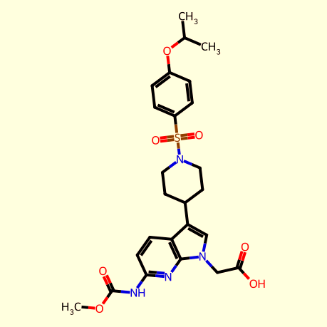 COC(=O)Nc1ccc2c(C3CCN(S(=O)(=O)c4ccc(OC(C)C)cc4)CC3)cn(CC(=O)O)c2n1